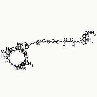 CO[C@H]1C[C@@H]2CC[C@@H](C)[C@@](O)(O2)C(=O)C(=O)N2CCCC[C@H]2C(=O)O[C@H]([C@H](N)C[C@@H]2CC[C@@H](OCCCCc3cn(CCOCCOCCOCCOCCCNC(=O)CCCC(=O)NCCCCn4nc(-c5ccc6oc(N)nc6c5)c5c(N)ncnc54)nn3)[C@H](OC)C2)CC(=O)[C@H](C)/C=C(\C)[C@@H](O)[C@@H](OC)C(=O)[C@H](C)C[C@H](C)/C=C/C=C/C=C/1C